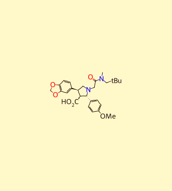 COc1ccc([C@@H]2[C@@H](C(=O)O)[C@@H](c3ccc4c(c3)OCO4)CN2CC(=O)N(C)CC(C)(C)C)cc1